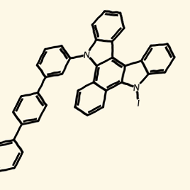 In1c2ccccc2c2c3c4ccccc4n(-c4cccc(-c5ccc(-c6ccccc6)cc5)c4)c3c3ccccc3c21